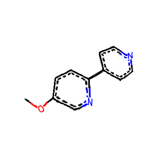 COc1ccc(-c2ccncc2)nc1